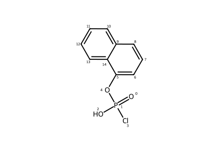 O=P(O)(Cl)Oc1cccc2ccccc12